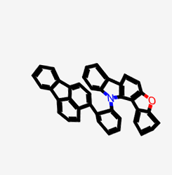 c1ccc2c(c1)-c1cccc3c(-c4ccccc4-n4c5ccccc5c5ccc6oc7ccccc7c6c54)ccc-2c13